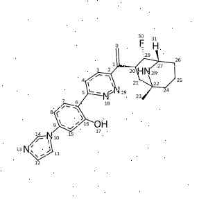 C=C(c1ccc(-c2ccc(-n3ccnc3)cc2O)nn1)[C@@H]1C[C@@]2(C)CCC[C@H](N2)[C@H]1F